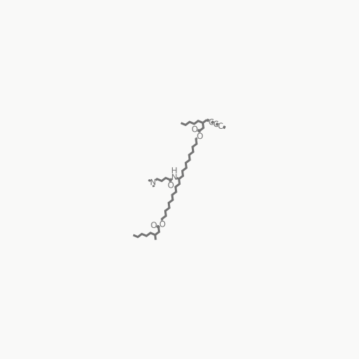 C=C=C=C=CC(CCCCC)CC(=O)OCCCCCCCCCCC(CCCCCCCCCCOC(=O)CC(C)CCCCC)NC(=O)CCCN(C)C